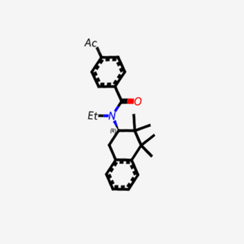 CCN(C(=O)c1ccc(C(C)=O)cc1)[C@@H]1Cc2ccccc2C(C)(C)C1(C)C